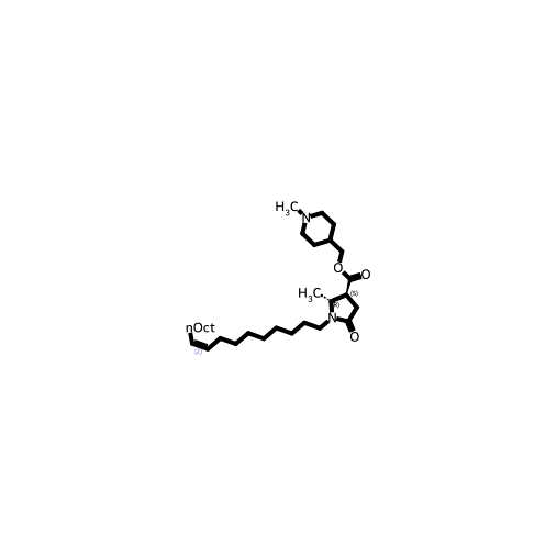 CCCCCCCC/C=C\CCCCCCCCN1C(=O)C[C@H](C(=O)OCC2CCN(C)CC2)[C@H]1C